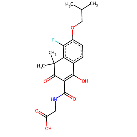 CC(C)COc1ccc2c(c1F)C(C)(C)C(=O)C(C(=O)NCC(=O)O)=C2O